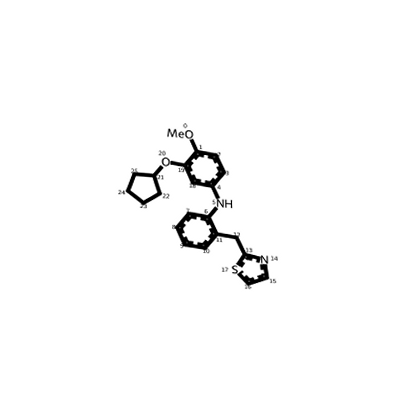 COc1ccc(Nc2ccccc2Cc2nccs2)cc1OC1CCCC1